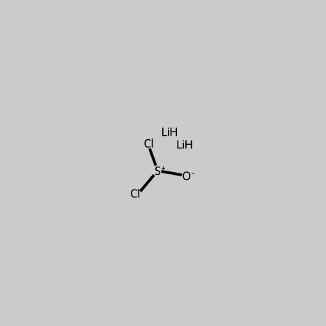 [LiH].[LiH].[O-][S+](Cl)Cl